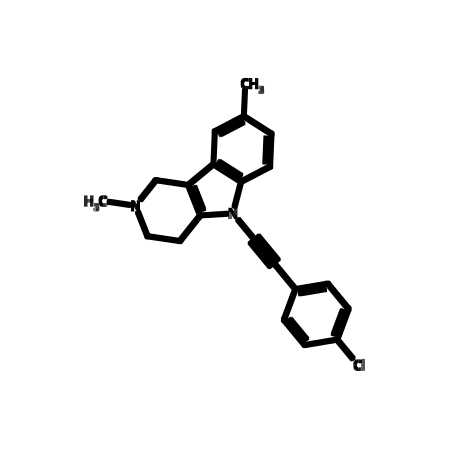 Cc1ccc2c(c1)c1c(n2C#Cc2ccc(Cl)cc2)CCN(C)C1